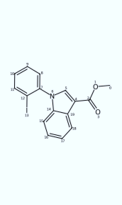 COC(=O)c1cn(-c2ccccc2I)c2ccccc12